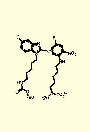 CC(C)(C)N(CCCCCNc1ccc(F)cc1[N+](=O)[O-])C(=O)O.CC(C)(C)OC(=O)NCCCCCn1c(N)nc2cc(F)ccc21